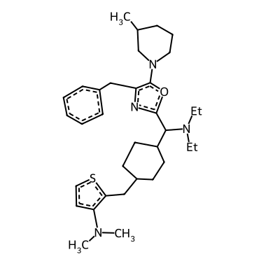 CCN(CC)C(c1nc(Cc2ccccc2)c(N2CCCC(C)C2)o1)C1CCC(Cc2sccc2N(C)C)CC1